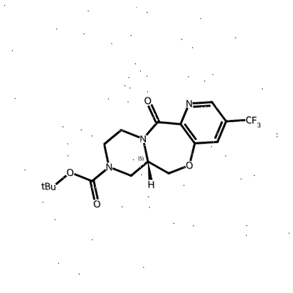 CC(C)(C)OC(=O)N1CCN2C(=O)c3ncc(C(F)(F)F)cc3OC[C@@H]2C1